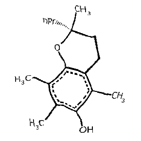 CCC[C@]1(C)CCc2c(C)c(O)c(C)c(C)c2O1